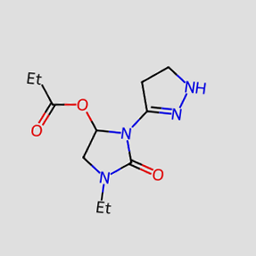 CCC(=O)OC1CN(CC)C(=O)N1C1=NNCC1